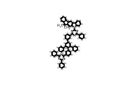 CC1(C)c2ccccc2-c2cc3c4ccccc4n(-c4nc(-c5ccccc5)nc(-c5cccc(-c6cc(-c7ccccc7)c(-c7cccc(-c8nc(-c9ccccc9)nc(-c9ccccc9)n8)c7)c(-c7ccccc7)c6)c5)n4)c3cc21